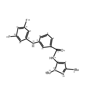 CC(C)(C)c1cc(NC(=O)c2cccc(Nc3cc(F)cc(F)c3)c2)n(C(C)(C)C)n1